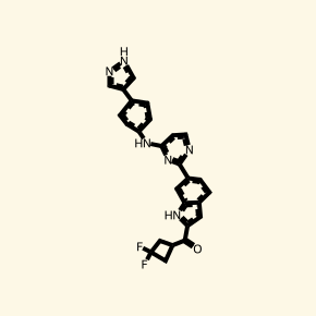 O=C(c1cc2ccc(-c3nccc(Nc4ccc(-c5cn[nH]c5)cc4)n3)cc2[nH]1)C1CC(F)(F)C1